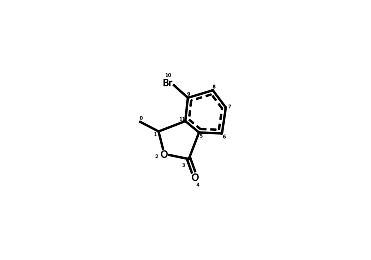 CC1OC(=O)c2cccc(Br)c21